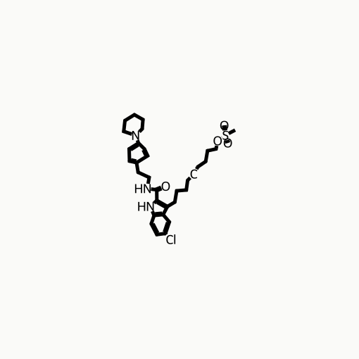 CS(=O)(=O)OCCCCCCCCCc1c(C(=O)NCCc2ccc(N3CCCCC3)cc2)[nH]c2ccc(Cl)cc12